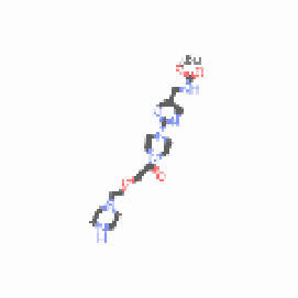 CC(C)(C)OC(=O)NCc1cnc(N2CCN(C(=O)CCOCCN3CCNCC3)CC2)nc1